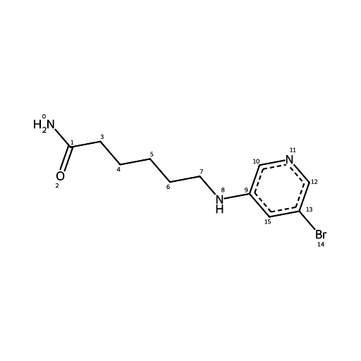 NC(=O)CCCCCNc1cncc(Br)c1